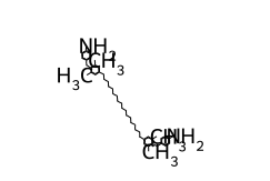 Cc1cc(CCCCCCCCCCCCCCCCCCc2cc(C)c(Cc3ccc(N)cc3)c(C)c2)cc(C)c1Cc1ccc(N)cc1